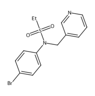 CCS(=O)(=O)N(Cc1cccnc1)c1ccc(Br)cc1